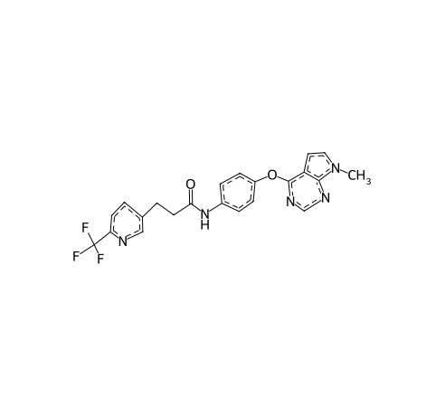 Cn1ccc2c(Oc3ccc(NC(=O)CCc4ccc(C(F)(F)F)nc4)cc3)ncnc21